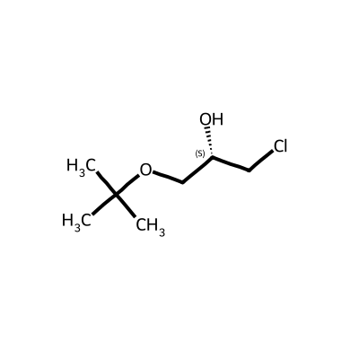 CC(C)(C)OC[C@H](O)CCl